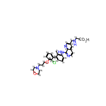 Cc1c(Nc2nccc3cc(CNCC(=O)O)cnc23)cccc1-c1cccc(OCCCN2CCOCC2)c1Cl